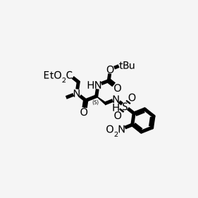 CCOC(=O)CN(C)C(=O)[C@H](CNS(=O)(=O)c1ccccc1[N+](=O)[O-])NC(=O)OC(C)(C)C